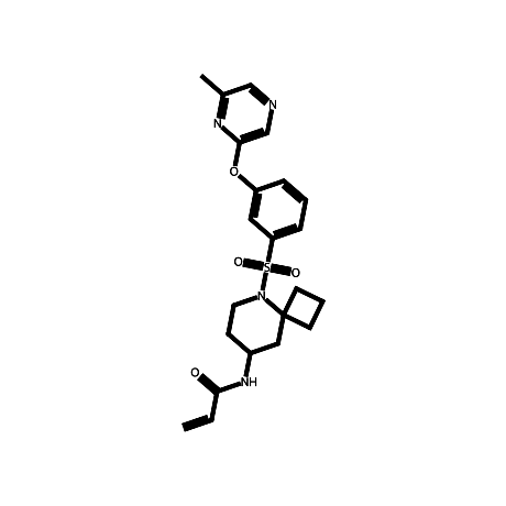 C=CC(=O)NC1CCN(S(=O)(=O)c2cccc(Oc3cncc(C)n3)c2)C2(CCC2)C1